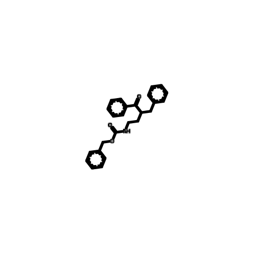 O=C(NCCC(Cc1ccccc1)C(=O)c1ccccc1)OCc1ccccc1